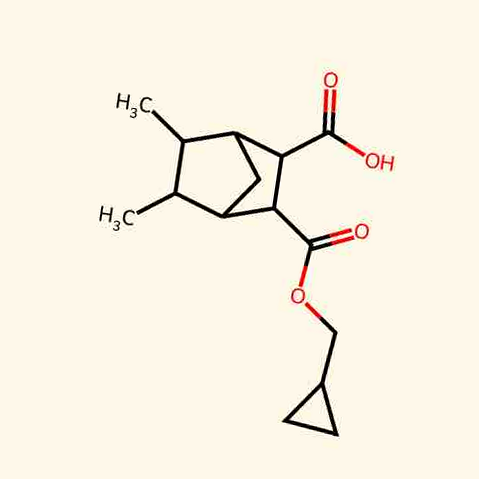 CC1C(C)C2CC1C(C(=O)O)C2C(=O)OCC1CC1